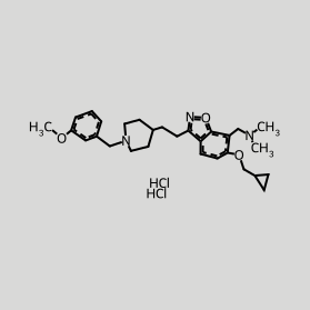 COc1cccc(CN2CCC(CCc3noc4c(CN(C)C)c(OCC5CC5)ccc34)CC2)c1.Cl.Cl